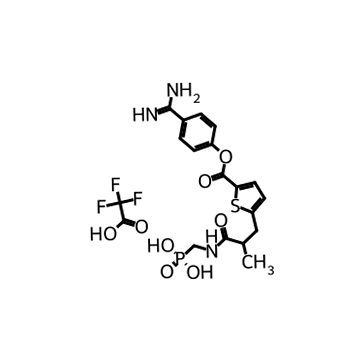 CC(Cc1ccc(C(=O)Oc2ccc(C(=N)N)cc2)s1)C(=O)NCP(=O)(O)O.O=C(O)C(F)(F)F